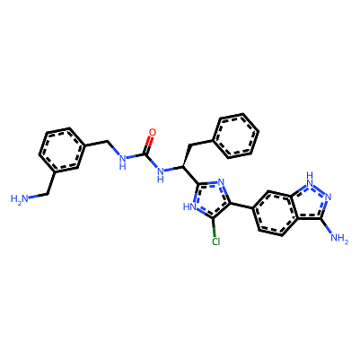 NCc1cccc(CNC(=O)N[C@@H](Cc2ccccc2)c2nc(-c3ccc4c(N)n[nH]c4c3)c(Cl)[nH]2)c1